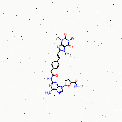 CCNC(=O)C1CC[C@H](n2cnc3c(N)nc(NC(=O)Cc4ccc(/C=C/c5nc6c(c(=O)n(CC)c(=O)n6CC)n5C)cc4)nc32)O1